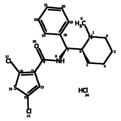 CN1CCCC[C@H]1[C@@H](NC(=O)c1cc(Cl)sc1Cl)c1ccccc1.Cl